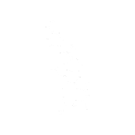 CCn1c(=O)c(-c2cc(NC(=O)O)c(F)cc2Cl)cc2cnc(N(C)Cc3ccc(OC)cc3)cc21